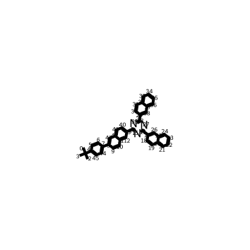 CC(C)(C)c1ccc(-c2ccc3cc(-c4nc(-c5ccc6ccccc6c5)nc(-c5ccc6ccccc6c5)n4)ccc3c2)cc1